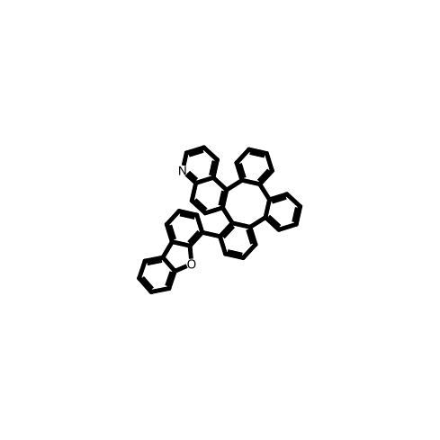 c1ccc2c(c1)-c1ccccc1-c1c(ccc3ncccc13)-c1c-2cccc1-c1cccc2c1oc1ccccc12